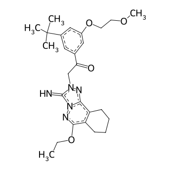 CCOc1nn2c(=N)n(CC(=O)c3cc(OCCOC)cc(C(C)(C)C)c3)nc2c2c1CCCC2